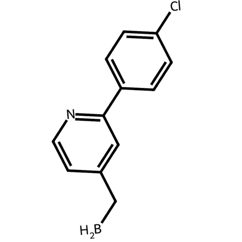 BCc1ccnc(-c2ccc(Cl)cc2)c1